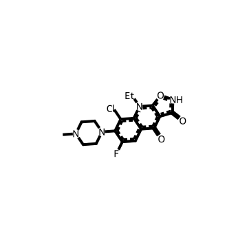 CCn1c2o[nH]c(=O)c2c(=O)c2cc(F)c(N3CCN(C)CC3)c(Cl)c21